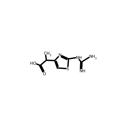 CC(C(=O)O)c1csc(NC(=N)N)n1